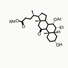 CC[C@H]1[C@@H](OC(C)=O)C2C3CC[C@H]([C@H](C)CCC(=O)OC)[C@@]3(C)CC(=O)C2[C@@]2(C)CC[C@@H](O)C[C@@H]12